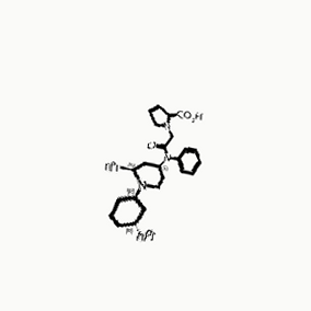 CCC[C@@H]1CCC[C@@H](N2CC[C@H](N(C(=O)CN3CCCC3C(=O)O)c3ccccc3)C[C@@H]2CCC)C1